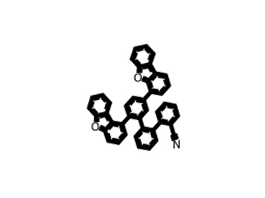 N#Cc1ccccc1-c1ccccc1-c1cc(-c2cccc3c2oc2ccccc23)ccc1-c1cccc2oc3ccccc3c12